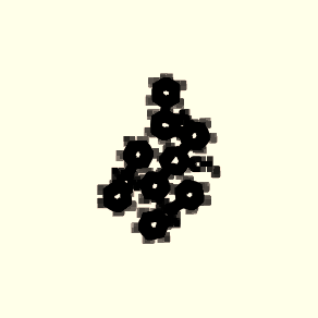 CC1C=C(c2cc(-n3c(-c4ccccc4)nc4ccccc43)cc(-n3c(-c4ccccc4)nc4ccccc43)c2)C=CC1c1cccc2sc3c(-c4ccccc4)cccc3c12